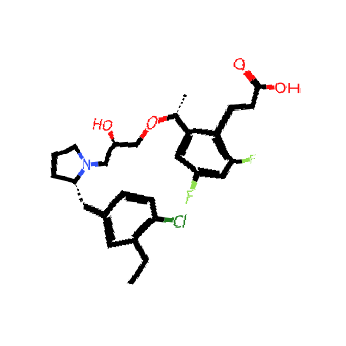 CCc1cc(C[C@@H]2CCCN2C[C@@H](O)CO[C@H](C)c2cc(F)cc(F)c2CCC(=O)O)ccc1Cl